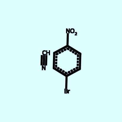 C#N.O=[N+]([O-])c1ccc(Br)cc1